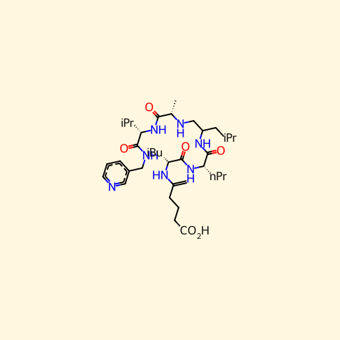 C=C(CCCC(=O)O)NC(C(=O)N[C@@H](CCC)C(=O)NC(CN[C@@H](C)C(=O)N[C@H](C(=O)NCc1cccnc1)C(C)C)CC(C)C)[C@@H](C)CC